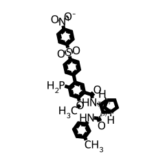 COc1cc(P)c(-c2ccc(S(=O)(=O)c3ccc([N+](=O)[O-])cc3)cc2)cc1C(=O)N[C@@H]1[C@H]2CC[C@H](C2)[C@@H]1C(=O)Nc1cccc(C)c1